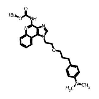 CN(C)c1ccc(CCCOCCn2cnc3c(NC(=O)OC(C)(C)C)nc4ccccc4c32)cc1